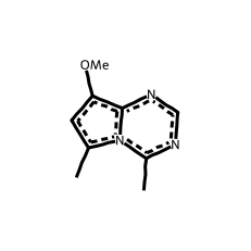 COc1cc(C)n2c(C)ncnc12